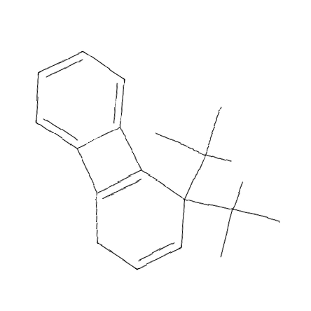 CC(C)(C)C1(C(C)(C)C)C=CCC2=C1c1ccccc12